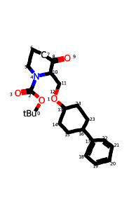 CC(C)(C)OC(=O)N1CCCC(=O)C1COC1CCC(c2ccccc2)CC1